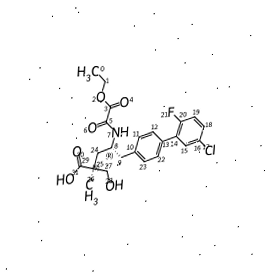 CCOC(=O)C(=O)N[C@H](Cc1ccc(-c2cc(Cl)ccc2F)cc1)C[C@@](C)(CO)C(=O)O